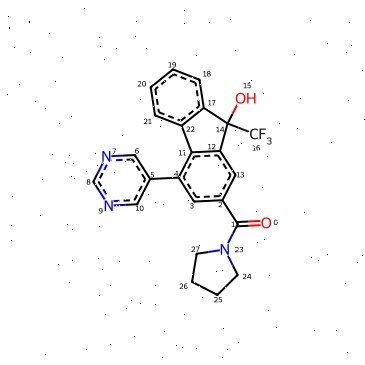 O=C(c1cc(-c2cncnc2)c2c(c1)C(O)(C(F)(F)F)c1ccccc1-2)N1CCCC1